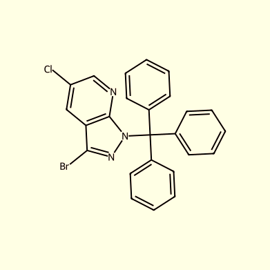 Clc1cnc2c(c1)c(Br)nn2C(c1ccccc1)(c1ccccc1)c1ccccc1